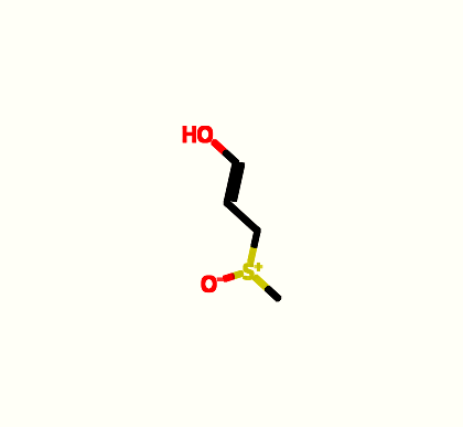 C[S+]([O-])CC=CO